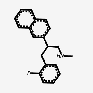 CNC[C@@H](Cc1ccccc1F)c1ccc2ccccc2c1